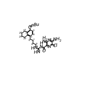 CCCCOc1ccc(CCCCNC(=N)NC(=O)c2nc(Cl)c(N)nc2N)c2c1CCCC2